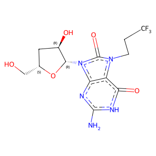 Nc1nc2c(c(=O)[nH]1)n(CCC(F)(F)F)c(=O)n2[C@@H]1O[C@H](CO)C[C@H]1O